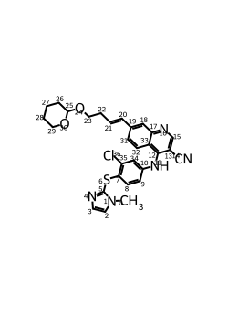 Cn1ccnc1Sc1ccc(Nc2c(C#N)cnc3cc(/C=C/CCOC4CCCCO4)ccc23)cc1Cl